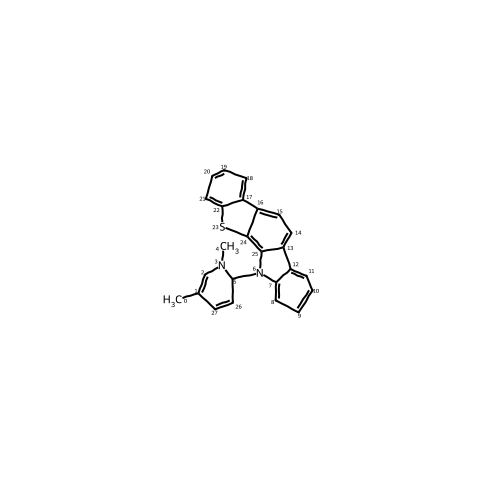 CC1=CN(C)C(n2c3ccccc3c3ccc4c5ccccc5sc4c32)C=C1